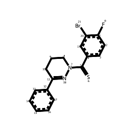 Fc1ccc(C(=S)N2CCCC(c3ccccc3)=N2)cc1Br